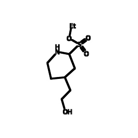 CCOS(=O)(=O)C1CC(CCO)CCN1